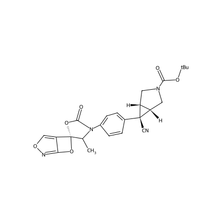 CC1N(c2ccc([C@]3(C#N)[C@@H]4CN(C(=O)OC(C)(C)C)C[C@@H]43)cc2)C(=O)O[C@@]12Oc1nocc12